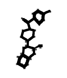 Cc1ccc(C(=O)C2CCN(C3Cc4ccccc4C[C@H]3O)CC2)cc1